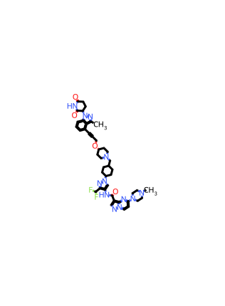 Cc1nn(C2CCC(=O)NC2=O)c2cccc(C#CCOC3CCN(CC4CCC(n5cc(NC(=O)c6cnn7ccc(N8CCN(C)CC8)nc67)c(C(F)F)n5)CC4)CC3)c12